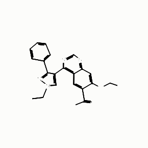 CCOc1cc2ncnc(-c3cn(CC)nc3-c3ccccc3)c2cc1C(C)=O